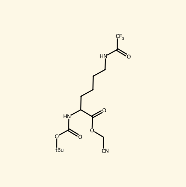 CC(C)(C)OC(=O)NC(CCCCNC(=O)C(F)(F)F)C(=O)OCC#N